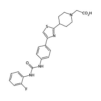 O=C(O)CN1CCC(c2nc(-c3ccc(NC(=O)Nc4ccccc4F)cc3)cs2)CC1